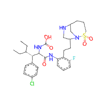 CCC(CC)C(c1ccc(Cl)cc1)C(NC(=O)O)C(=O)Nc1cccc(F)c1CCC1CNC2CCCS(=O)(=O)N1C2